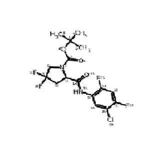 CC(C)(C)OC(=O)N1CC(F)(F)CC1C(=O)Nc1cc(Cl)c(F)cc1F